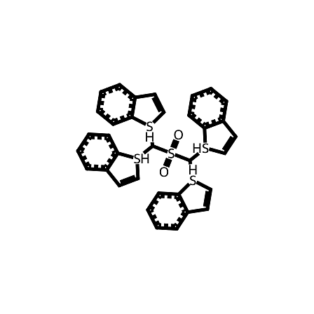 O=S(=O)(C([SH]1C=Cc2ccccc21)[SH]1C=Cc2ccccc21)C([SH]1C=Cc2ccccc21)[SH]1C=Cc2ccccc21